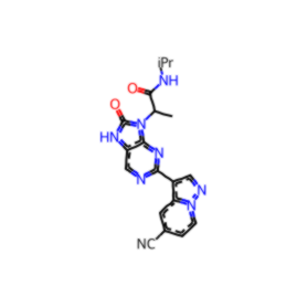 CC(C)NC(=O)C(C)n1c(=O)[nH]c2cnc(-c3cnn4ccc(C#N)cc34)nc21